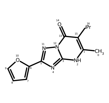 Cc1[nH]c2nc(-c3ccco3)nn2c(=O)c1C(C)C